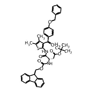 Cc1sc(NC(=O)[C@H](CC(=O)OC(C)(C)C)NC(=O)OCC2c3ccccc3-c3ccccc32)c(C(=O)c2ccc(OCc3ccccc3)cc2)c1C